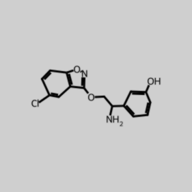 NC(COc1noc2ccc(Cl)cc12)c1cccc(O)c1